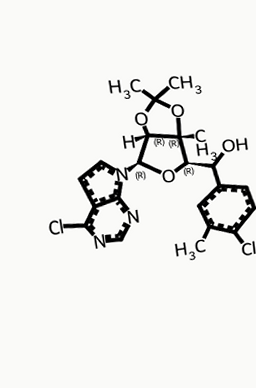 Cc1cc(C(O)[C@H]2O[C@@H](n3ccc4c(Cl)ncnc43)[C@@H]3OC(C)(C)O[C@]23C)ccc1Cl